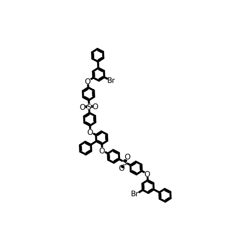 O=S(=O)(c1ccc(Oc2cc(Br)cc(-c3ccccc3)c2)cc1)c1ccc(Oc2cccc(Oc3ccc(S(=O)(=O)c4ccc(Oc5cc(Br)cc(-c6ccccc6)c5)cc4)cc3)c2-c2ccccc2)cc1